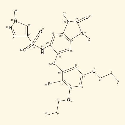 CCCOc1cc(OCCC)c(F)c(Oc2cc3c(cc2NS(=O)(=O)c2cnn(C)c2)n(C)c(=O)n3C)c1